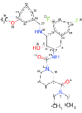 CCN(CC)C(=O)C1CCCN(C(=O)N[C@@H](Cc2cc(F)cc(F)c2)[C@H](O)CNCc2cccc(OC)c2)C1